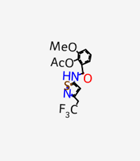 COc1cccc(C(=O)Nc2cc(CC(F)(F)F)ns2)c1OC(C)=O